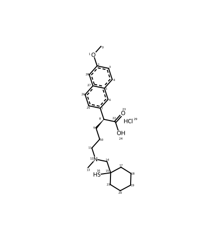 COc1ccc2cc([C@H](CCCN(C)CC3(S)CCCCC3)C(=O)O)ccc2c1.Cl